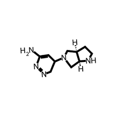 NC1=CC(N2C[C@H]3CCN[C@H]3C2)CN=N1